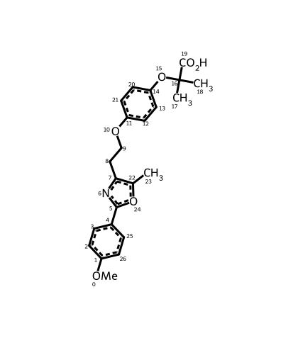 COc1ccc(-c2nc(CCOc3ccc(OC(C)(C)C(=O)O)cc3)c(C)o2)cc1